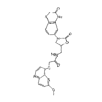 COc1ccc2nccc(OCC(=O)NCC3CN(c4ccc5c(c4)NC(=O)CS5)C(=O)O3)c2n1